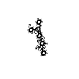 COC(=O)c1cc(S(=O)(=O)c2ccc(CCN(Cc3ccccc3)C[C@H](O)c3cccc(F)c3)cc2)cc(C)c1OCc1ccccc1